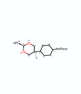 CCCCCC1CCC([C@]2(C)CO[C@H](CCC)OC2)CC1